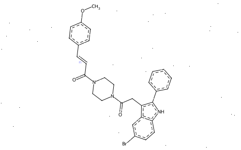 COc1ccc(/C=C/C(=O)N2CCN(C(=O)Cc3c(-c4ccccc4)[nH]c4ccc(Br)cc34)CC2)cc1